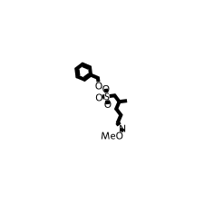 CON=CCCC(C)CS(=O)(=O)OOCc1ccccc1